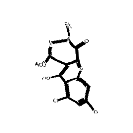 CCn1nc(OC(C)=O)c2c(O)c3c(Cl)cc(Cl)cc3nc2c1=O